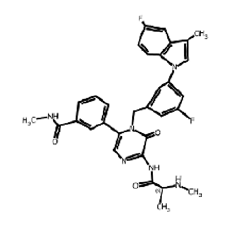 CNC(=O)c1cccc(-c2cnc(NC(=O)[C@H](C)NC)c(=O)n2Cc2cc(F)cc(-n3cc(C)c4cc(F)ccc43)c2)c1